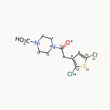 O=C(O)N1CCN(C(=O)Cc2cc(Cl)sc2Cl)CC1